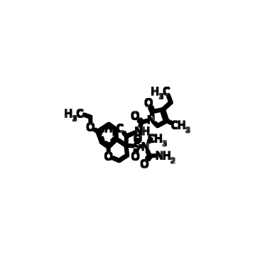 CCOc1ccc2c(c1)OCCC2(C(C)NC(=O)N1CC(C)=C(CC)C1=O)S(=O)(=O)N(C)C(N)=O